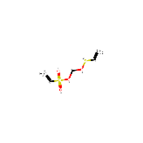 C=CSOCOS(=O)(=O)C=C